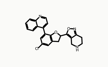 Clc1cc2c(c(-c3ccnc4ccccc34)c1)OC(c1onc3c1CNCC3)C2